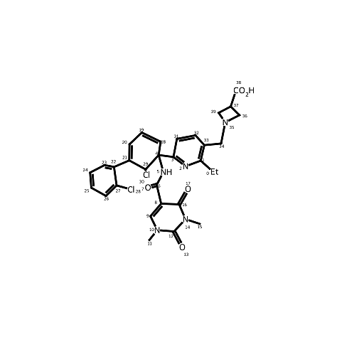 CCc1nc(C2(NC(=O)c3cn(C)c(=O)n(C)c3=O)C=CC=C(c3ccccc3Cl)C2Cl)ccc1CN1CC(C(=O)O)C1